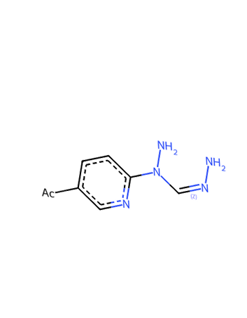 CC(=O)c1ccc(N(N)/C=N\N)nc1